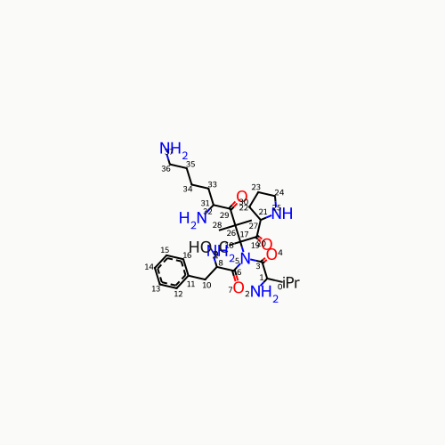 CC(C)C(N)C(=O)N(C(=O)C(N)Cc1ccccc1)C(C(=O)O)(C(=O)C1CCCN1)C(C)(C)C(=O)C(N)CCCCN